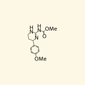 COC(=O)NC1=NC(c2ccc(OC)cc2)CCN1